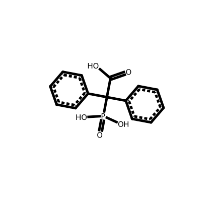 O=C(O)C(c1ccccc1)(c1ccccc1)P(=O)(O)O